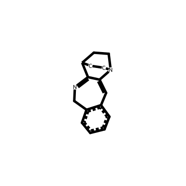 C1=C2C(=NCc3ccccc31)C1CCN2CC1